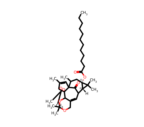 CCCCCCCCCCCC(=O)O[C@@]12CC(C)C34C=C(C)C5OC(C)(C)OC53C3OC(C)(C)OCC3=CC(C4=O)[C@H]1C2(C)C